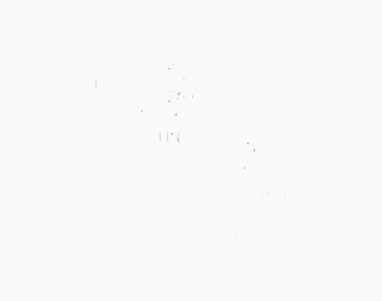 CCOC(=O)c1cnc2c(C)c(Cl)ccc2c1Nc1cccc(O)c1